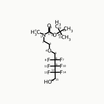 CN(CCOCC(F)(F)C(F)(F)C(F)(F)CO)C(=O)OC(C)(C)C